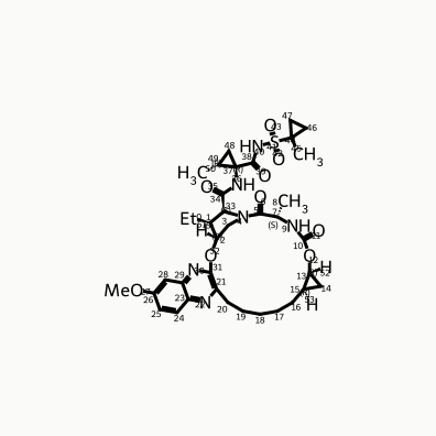 CC[C@@H]1[C@@H]2CN(C(=O)[C@H](C)NC(=O)O[C@@H]3C[C@H]3CCCCCc3nc4ccc(OC)cc4nc3O2)[C@@H]1C(=O)N[C@]1(C(=O)NS(=O)(=O)C2(C)CC2)C[C@H]1C